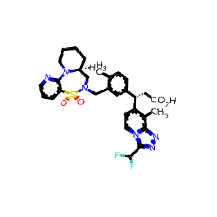 Cc1ccc([C@H](CC(=O)O)c2ccn3c(C(F)F)nnc3c2C)cc1CN1C[C@@H]2CCCCN2c2ncccc2S1(=O)=O